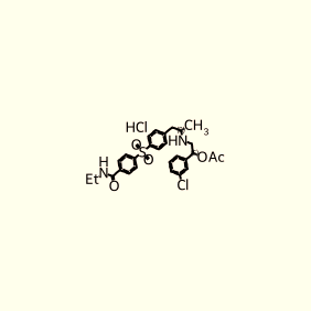 CCNC(=O)c1ccc(S(=O)(=O)c2ccc(C[C@@H](C)NC[C@@H](OC(C)=O)c3cccc(Cl)c3)cc2)cc1.Cl